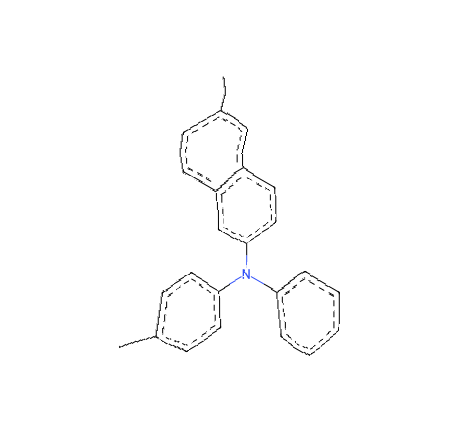 Cc1ccc(N(c2ccccc2)c2ccc3cc(C)ccc3c2)cc1